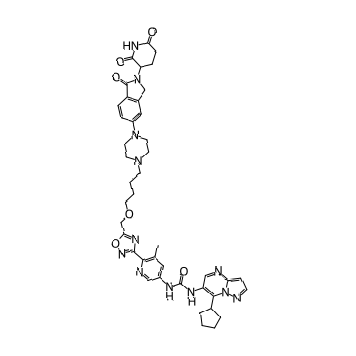 Cc1cc(NC(=O)Nc2cnc3ccnn3c2C2CCCC2)cnc1-c1noc(COCCCCN2CCN(c3ccc4c(c3)CN(C3CCC(=O)NC3=O)C4=O)CC2)n1